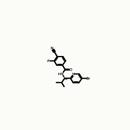 CC(C)[C@@H](NC(=O)c1ccc(C#N)c(F)c1)c1ccc(Br)cn1